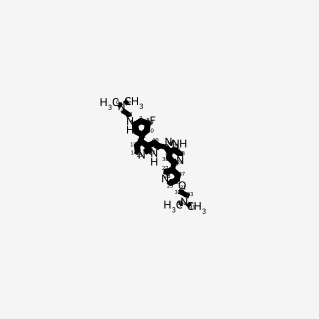 CN(C)CCNc1cc(F)cc(-c2ccnc3[nH]c(-c4n[nH]c5cnc(-c6cncc(OCCN(C)C)c6)cc45)cc23)c1